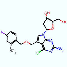 Nc1nc(Cl)c2c(COCc3ccc(I)cc3[N+](=O)[O-])cn([C@H]3C[C@@H](O)[C@@H](CO)O3)c2n1